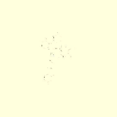 COC(=O)C(Cc1ccccc1)NC(=O)C(CC(=O)OCc1ccccc1)NC(=O)c1ccccc1